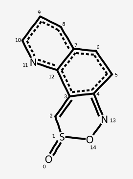 O=S1C=c2c(ccc3cccnc23)=NO1